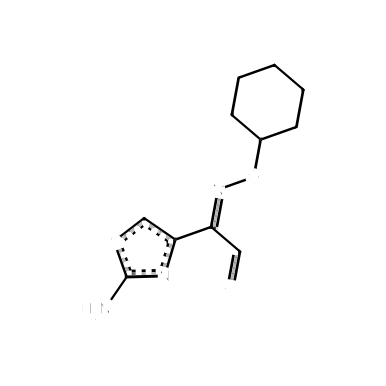 Nc1nc(C([C]=O)=NOC2CCCCC2)cs1